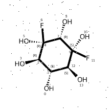 O[C@@H]1[C@@H](O)[C@@](O)(F)[C@H](O)[C@@](O)(F)[C@H]1O